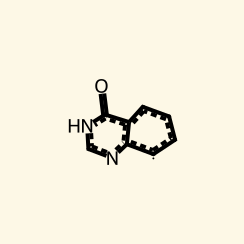 O=c1[nH]cnc2[c]cccc12